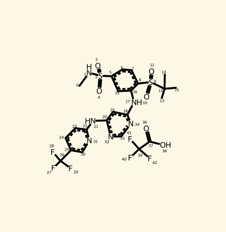 CNS(=O)(=O)c1ccc(S(=O)(=O)C(C)(C)C)c(Nc2cc(Nc3ccc(C(F)(F)F)cn3)ncn2)c1.O=C(O)C(F)(F)F